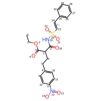 CCOC(=O)C(CCc1ccc([N+](=O)[O-])cc1)C(=O)NS(=O)(=O)/C=C/c1ccccc1